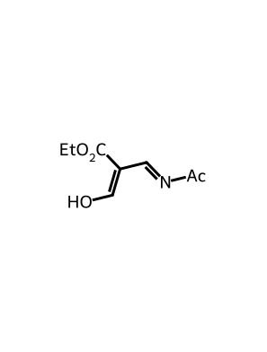 CCOC(=O)/C(C=NC(C)=O)=C\O